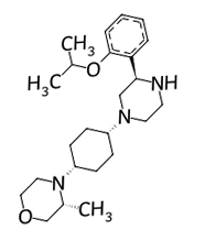 CC(C)Oc1ccccc1[C@@H]1CN([C@H]2CC[C@@H](N3CCOC[C@H]3C)CC2)CCN1